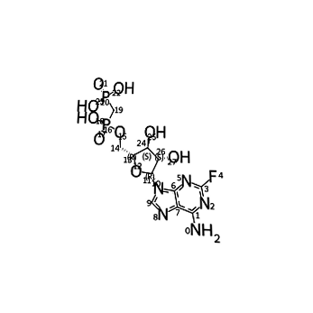 Nc1nc(F)nc2c1ncn2[C@@H]1O[C@H](COP(=O)(O)CP(=O)(O)O)[C@@H](O)[C@@H]1O